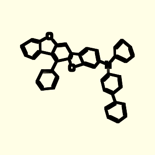 c1ccc(-c2ccc(N(c3ccccc3)c3ccc4c(c3)oc3c(-c5ccccc5)c5c(cc34)oc3ccccc35)cc2)cc1